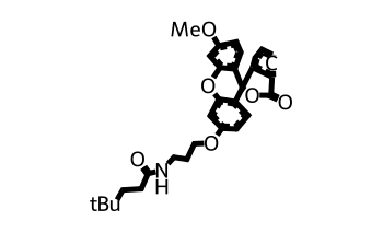 COc1ccc2c(c1)Oc1cc(OCCCNC(=O)CCC(C)(C)C)ccc1C21OC(=O)c2ccccc21